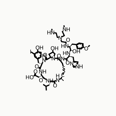 CNCCN(CCNC)CC(=O)N[C@@H](Cc1ccc(OC)cc1)[C@H](O)N[C@@H](Cc1c[nH]cn1)C(=O)N[C@H]1CSSC[C@@H](C)NC(=O)[C@H](CC(C)C)NC(=O)[C@H](CC(=O)O)NC(=O)[C@H](Cc2ccc(O)c(I)c2)NC(=O)C2CC(O)CN2C1=O